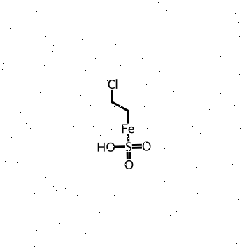 O=[S](=O)(O)[Fe][CH2]CCl